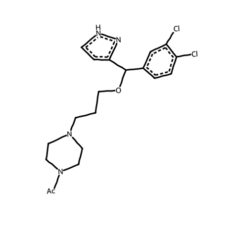 CC(=O)N1CCN(CCCOC(c2ccc(Cl)c(Cl)c2)c2cc[nH]n2)CC1